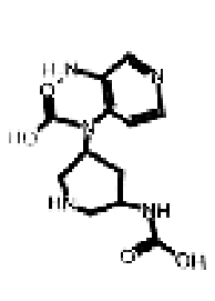 Nc1cnccc1N(C(=O)O)C1CNCC(NC(=O)O)C1